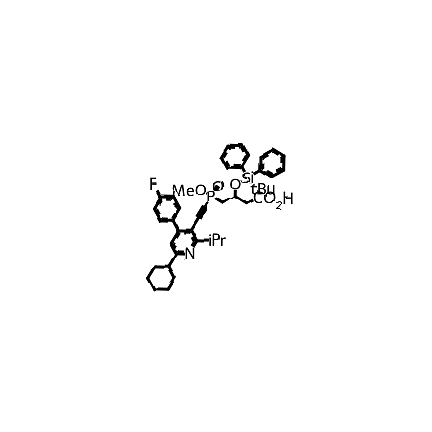 COP(=O)(C#Cc1c(-c2ccc(F)cc2)cc(C2CCCCC2)nc1C(C)C)C[C@H](CC(=O)O)O[Si](c1ccccc1)(c1ccccc1)C(C)(C)C